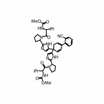 COC(=O)NC(C(=O)N1CCCC1c1ncc(C2(c3cnc(C4CCCN4C(=O)C(NC(=O)OC)C(C)C)[nH]3)C=CC(c3ccccc3C#N)=CC2)[nH]1)C(C)C